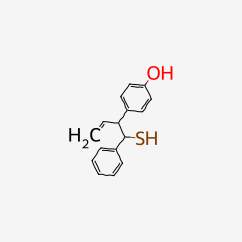 C=CC(c1ccc(O)cc1)C(S)c1ccccc1